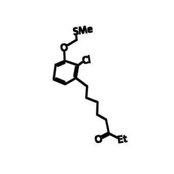 CCC(=O)CCCCCc1cccc(OCSC)c1Cl